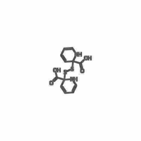 O=C(O)C1(SSC2(C(=O)O)C=CC=CN2)C=CC=CN1